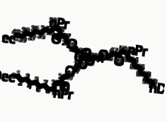 CCCCCCCCCCCCCCCCCCC(CCC)CC(=O)CCOCCOP(=O)(OCCOCCC(=O)CC(CCC)CCCCCCCCCCCCCCCCCC)OCCOCCC(=O)CC(CCC)CCCCCCCCCCCCCCCCCC